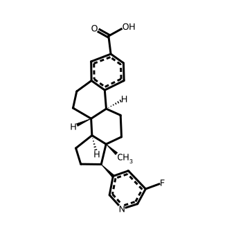 C[C@]12CC[C@@H]3c4ccc(C(=O)O)cc4CC[C@H]3[C@@H]1CC[C@@H]2c1cncc(F)c1